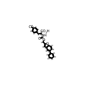 O=C(N[C@H](Cc1ccc(Cl)cc1)C(=O)O)OCc1cc2cc(-c3ccccc3)ccc2o1